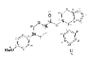 COc1ccc(N2CCN(C(=O)CN3CCn4cccc4C3c3ccc(Cl)cc3)CC2)cc1